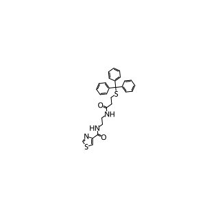 O=C(CCSC(c1ccccc1)(c1ccccc1)c1ccccc1)NCCNC(=O)c1cscn1